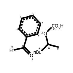 CCC(=O)c1ccccc1.CCCCC(C)OC(=O)O